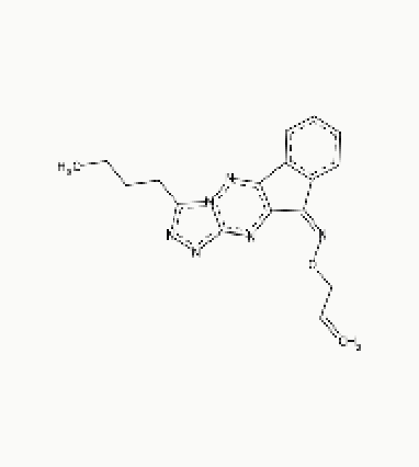 C=CCON=C1c2ccccc2-c2nn3c(CCCC)nnc3nc21